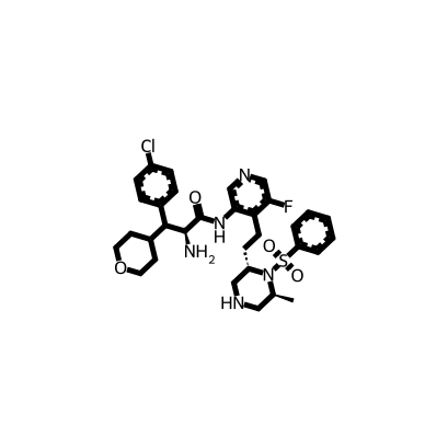 C[C@H]1CNC[C@H](CCc2c(F)cncc2NC(=O)[C@@H](N)C(c2ccc(Cl)cc2)C2CCOCC2)N1S(=O)(=O)c1ccccc1